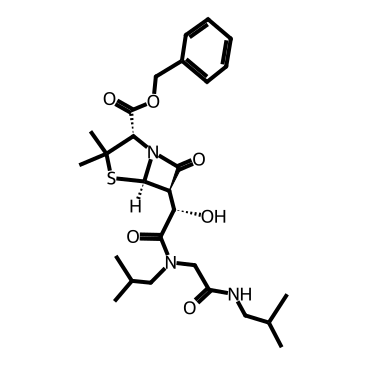 CC(C)CNC(=O)CN(CC(C)C)C(=O)[C@@H](O)[C@@H]1C(=O)N2[C@@H]1SC(C)(C)[C@@H]2C(=O)OCc1ccccc1